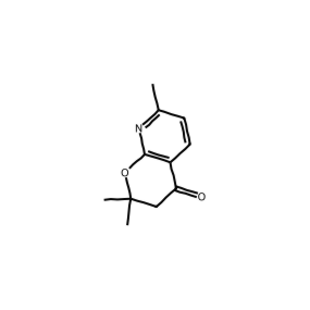 Cc1ccc2c(n1)OC(C)(C)CC2=O